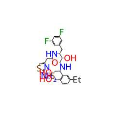 CCc1ccc2c(c1)[C@@H](NC[C@@H](O)[C@H](Cc1cc(F)cc(F)c1)NC(=O)Cc1csc(N)n1)CS(O)(O)C2